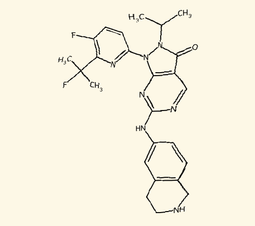 CC(C)n1c(=O)c2cnc(Nc3ccc4c(c3)CCNC4)nc2n1-c1ccc(F)c(C(C)(C)F)n1